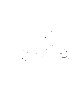 Cc1ccc(-c2cc(C(=O)NCc3cnc(C)cn3)cc(-n3ncnc3C3CC3)c2)nc1